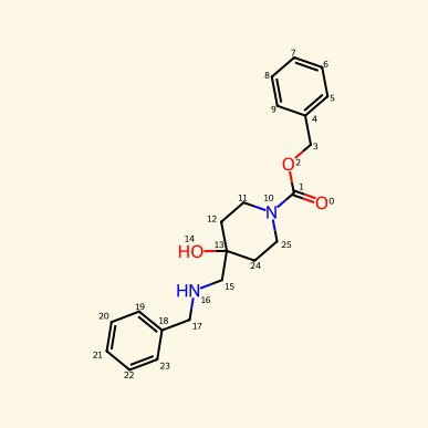 O=C(OCc1ccccc1)N1CCC(O)(CNCc2ccccc2)CC1